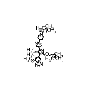 COc1cc(-c2c(C(C)C)c(-c3cnc(C4CCN(C(=O)OC(C)(C)C)CC4)s3)nn2COCC[Si](C)(C)C)cn2ncnc12